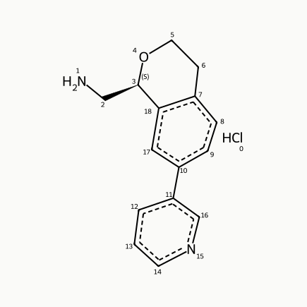 Cl.NC[C@H]1OCCc2ccc(-c3cccnc3)cc21